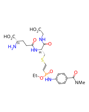 CCOP(=O)(C=CSC[C@H](NC(=O)CC[C@H](N)C(=O)O)C(=O)NCC(=O)O)Nc1ccc(C(=O)NC)cc1